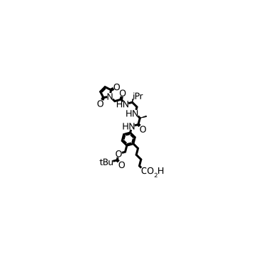 CC(C)[C@@H](CN[C@@H](C)C(=O)Nc1ccc(COC(=O)C(C)(C)C)c(CCCCC(=O)O)c1)NC(=O)CN1C(=O)C=CC1=O